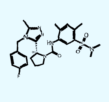 Cc1cc(C)c(S(=O)(=O)N(C)C)cc1NC(=O)N1CCC[C@@H]1c1nnc(C)n1Cc1ccc(F)cc1